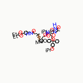 CCC1(CC)COC(c2ccc(CNC(=O)CCC(C)(C)SSc3ccccc3CCOP(OC3CC(n4cc(C)c(=O)[nH]c4=O)OC3COC(c3ccccc3)(c3ccc(OC)cc3)c3ccc(OC(C)C)cc3)N(C(C)C)C(C)C)cc2)OC1